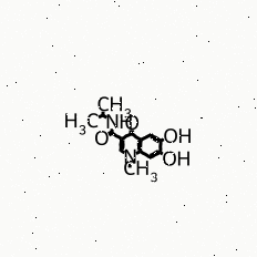 CC(C)NC(=O)c1cn(C)c2cc(O)c(O)cc2c1=O